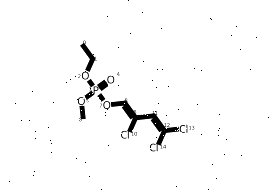 CCOP(=O)(OC)OC=C(Cl)C=C(Cl)Cl